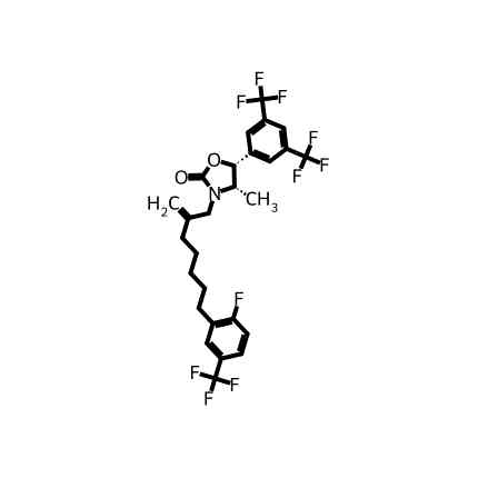 C=C(CCCCCc1cc(C(F)(F)F)ccc1F)CN1C(=O)O[C@H](c2cc(C(F)(F)F)cc(C(F)(F)F)c2)[C@@H]1C